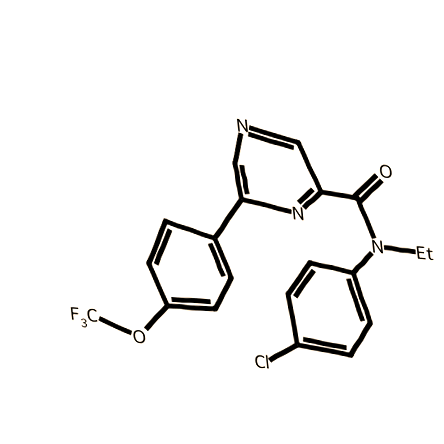 CCN(C(=O)c1cncc(-c2ccc(OC(F)(F)F)cc2)n1)c1ccc(Cl)cc1